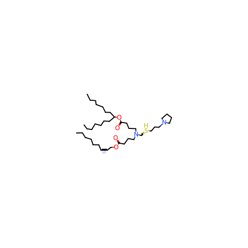 CCCCCC/C=C\COC(=O)CCCN(C=[SH]CCCN1CCCC1)CCCC(=O)OC(CCCCCCC)CCCCCCC